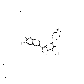 CC(=O)c1c(N2CCS(=O)(=O)CC2)nc2c(-c3cnc4cc(F)c(F)cc4c3)cnn2c1N